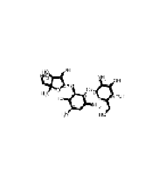 CC1(CN)O[C@@H](OC2C(O)[C@H](N)CC(N)[C@H]2O[C@H]2OC(CO)[C@@H](O)C(O)C2N)C(O)C1O